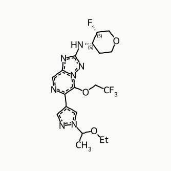 CCOC(C)n1cc(-c2ncc3nc(N[C@H]4CCOC[C@H]4F)nn3c2OCC(F)(F)F)cn1